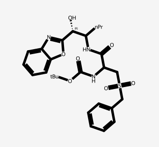 CCCC(NC(=O)C(CS(=O)(=O)Cc1ccccc1)NC(=O)OC(C)(C)C)[C@@H](O)c1nc2ccccc2o1